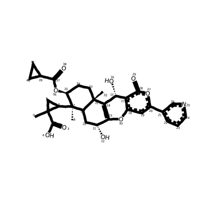 CC1(C(=O)O)CC1[C@]1(C)C2C[C@@H](O)C3=C([C@H](O)c4c(cc(-c5cccnc5)oc4=O)O3)[C@@]2(C)CC[C@@H]1OC(=O)C1CC1